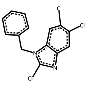 Clc1cc2nc(Cl)n(Cc3ccccc3)c2cc1Cl